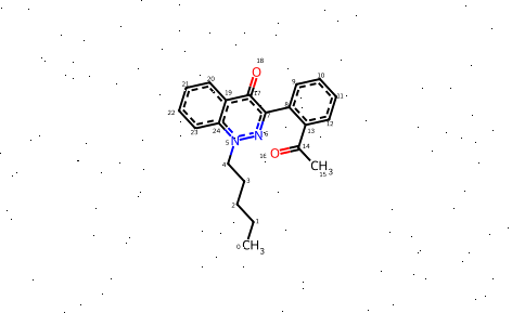 CCCCCn1nc(-c2ccccc2C(C)=O)c(=O)c2ccccc21